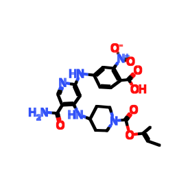 C/C=C(\C)OC(=O)N1CCC(Nc2cc(Nc3ccc(C(=O)O)c([N+](=O)[O-])c3)ncc2C(N)=O)CC1